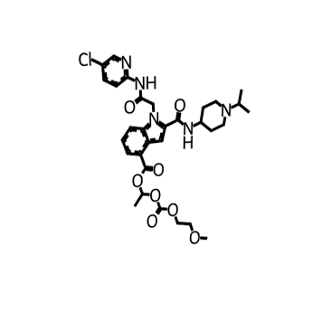 COCCOC(=O)OC(C)OC(=O)c1cccc2c1cc(C(=O)NC1CCN(C(C)C)CC1)n2CC(=O)Nc1ccc(Cl)cn1